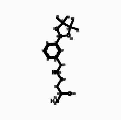 CC1(C)OB(c2cccc(CNSCC(N)=O)c2)OC1(C)C